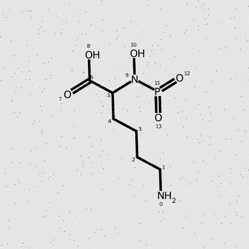 NCCCCC(C(=O)O)N(O)P(=O)=O